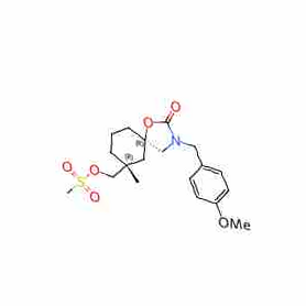 COc1ccc(CN2C[C@]3(CCC[C@@](C)(COS(C)(=O)=O)C3)OC2=O)cc1